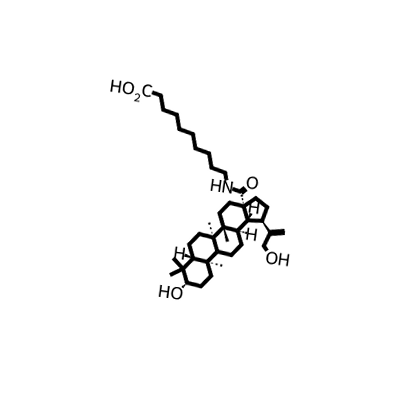 C=C(CO)[C@@H]1CC[C@]2(C(=O)NCCCCCCCCCC(=O)O)CC[C@]3(C)[C@H](CCC4[C@@]5(C)CC[C@H](O)C(C)(C)[C@@H]5CC[C@]43C)[C@@H]12